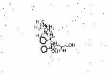 CCC(O)CCO.CN(C)C.CN(C)C.O=C(O)c1ccccc1.O=C(O)c1ccccc1